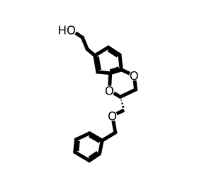 OCCc1ccc2c(c1)O[C@@H](COCc1ccccc1)CO2